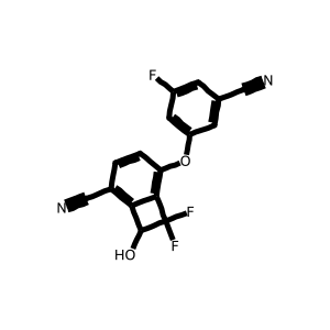 N#Cc1cc(F)cc(Oc2ccc(C#N)c3c2C(F)(F)C3O)c1